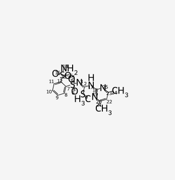 CSC(=NS(=O)(=O)c1ccccc1S(N)(=O)=O)Nc1nc(C)cc(C)n1